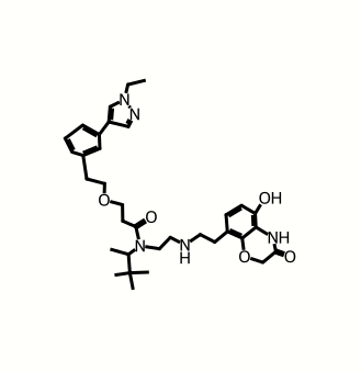 CCn1cc(-c2cccc(CCOCCC(=O)N(CCNCCc3ccc(O)c4c3OCC(=O)N4)C(C)C(C)(C)C)c2)cn1